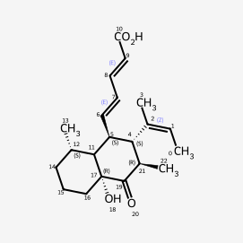 C/C=C(/C)[C@H]1[C@H](/C=C/C=C/C(=O)O)C2[C@@H](C)CCC[C@]2(O)C(=O)[C@@H]1C